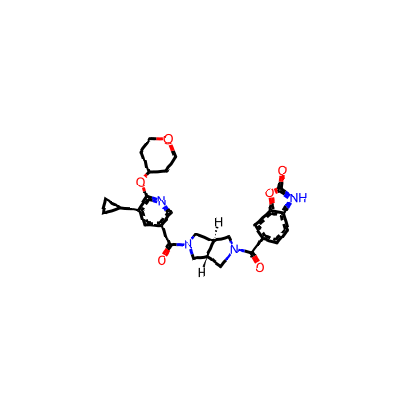 O=C(c1cnc(OC2CCOCC2)c(C2CC2)c1)N1C[C@H]2CN(C(=O)c3ccc4[nH]c(=O)oc4c3)C[C@@H]2C1